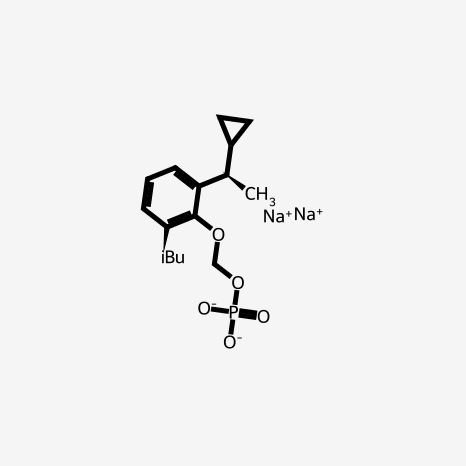 CC[C@H](C)c1cccc([C@H](C)C2CC2)c1OCOP(=O)([O-])[O-].[Na+].[Na+]